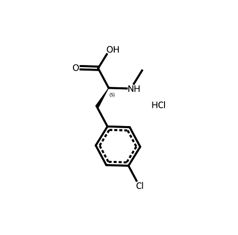 CN[C@@H](Cc1ccc(Cl)cc1)C(=O)O.Cl